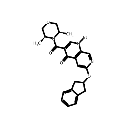 CCn1cc(C(=O)N2[C@H](C)COC[C@@H]2C)c(=O)c2cc(OC3Cc4ccccc4C3)ncc21